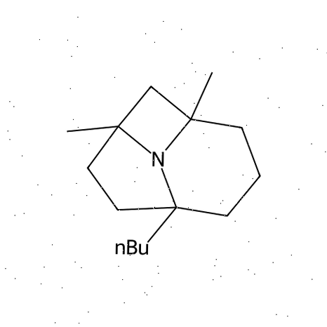 CCCCC12CCCC3(C)CC(C)(CC1)N32